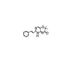 CC1(C)OC2=CN=C(/C=C/c3ccccc3)NC2=NC1=O